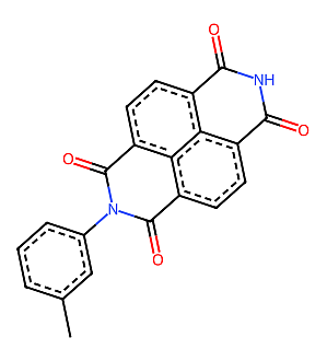 Cc1cccc(N2C(=O)c3ccc4c5c(ccc(c35)C2=O)C(=O)NC4=O)c1